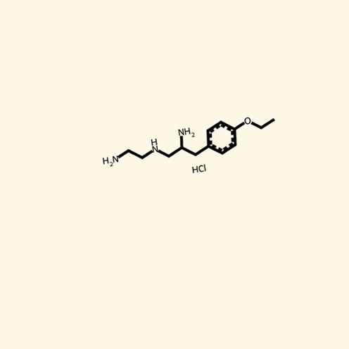 CCOc1ccc(CC(N)CNCCN)cc1.Cl